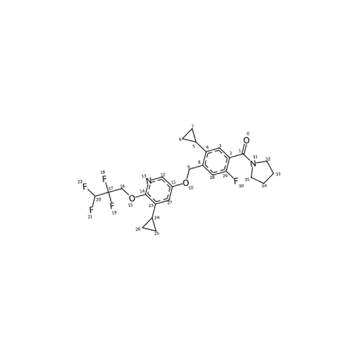 O=C(c1cc(C2CC2)c(COc2cnc(OCC(F)(F)C(F)F)c(C3CC3)c2)cc1F)N1CCCC1